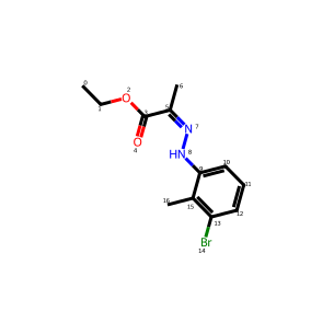 CCOC(=O)C(C)=NNc1cccc(Br)c1C